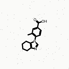 Cc1cc(C(=O)O)ccc1-n1cnc2c1CCCC2